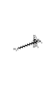 CCCCCCCCCCCCCC[C@H](O)[C@H](OC(C)C)[C@H](N)CC